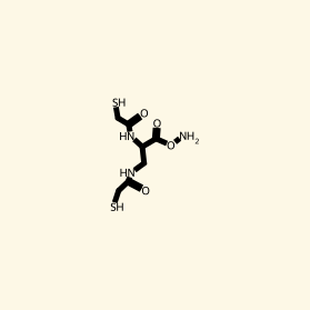 NOC(=O)C(CNC(=O)CS)NC(=O)CS